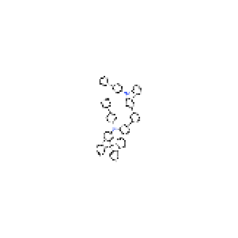 c1ccc(-c2ccc(N(c3cccc(-c4cccc(-c5ccc6c(c5)c5ccccc5n6-c5ccc(-c6ccccc6)cc5)c4)c3)c3ccc4c(c3)C(c3ccccc3)(c3ccccc3)c3ccccc3-4)cc2)cc1